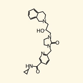 O=C(NC1CC1)c1ccc(CN2CCN(C[C@H](O)CN3CCc4ccccc4C3)C2=O)nc1